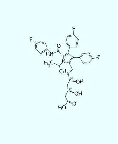 CC(C)n1c(CC[C@@H](O)C[C@@H](O)CC(=O)O)c(-c2ccc(F)cc2)c(-c2ccc(F)cc2)c1C(=O)Nc1ccc(F)cc1